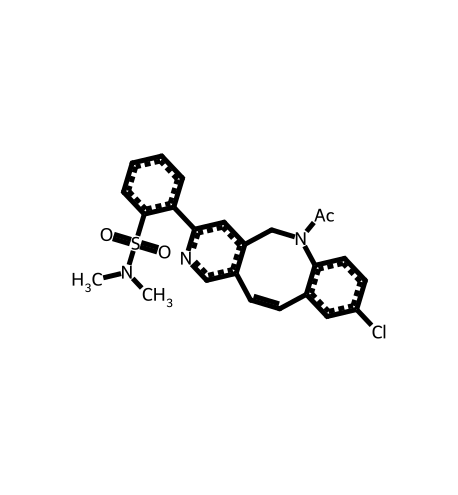 CC(=O)N1Cc2cc(-c3ccccc3S(=O)(=O)N(C)C)ncc2C=Cc2cc(Cl)ccc21